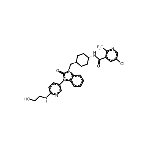 O=C(N[C@H]1CC[C@H](Cn2c(=O)n(-c3ccc(NCCO)nc3)c3ccccc32)CC1)c1cc(Cl)cnc1C(F)(F)F